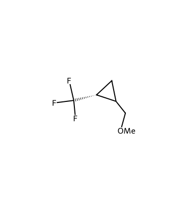 COCC1C[C@H]1C(F)(F)F